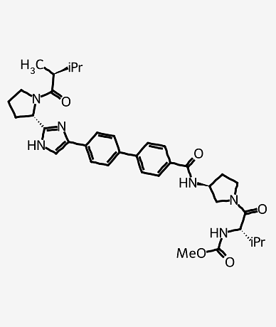 COC(=O)N[C@H](C(=O)N1CC[C@H](NC(=O)c2ccc(-c3ccc(-c4c[nH]c([C@@H]5CCCN5C(=O)[C@@H](C)C(C)C)n4)cc3)cc2)C1)C(C)C